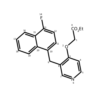 CCOC(=O)COc1ccncc1Cc1ccc(F)c2ccccc12